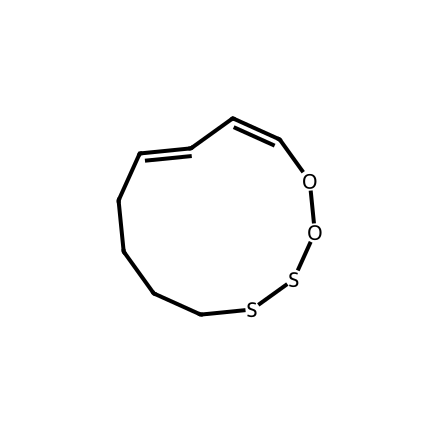 C1=C\OOSSCCCC/C=C/1